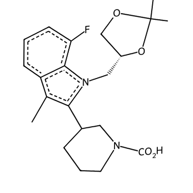 Cc1c(C2CCCN(C(=O)O)C2)n(C[C@@H]2COC(C)(C)O2)c2c(F)cccc12